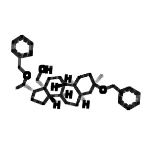 CC(OCc1ccccc1)[C@H]1CC[C@H]2[C@@H]3CC[C@@H]4C[C@](C)(OCc5ccccc5)CC[C@@H]4[C@H]3CC[C@]12CO